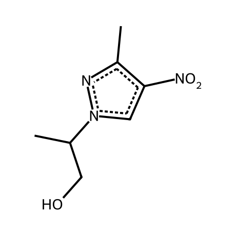 Cc1nn(C(C)CO)cc1[N+](=O)[O-]